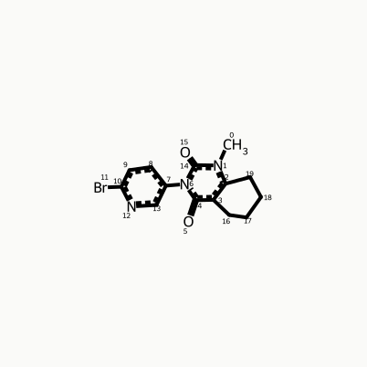 Cn1c2c(c(=O)n(-c3ccc(Br)nc3)c1=O)CCCC2